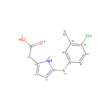 O=C(O)Cc1ccc(Sc2ccc(Cl)c(Cl)c2)[nH]1